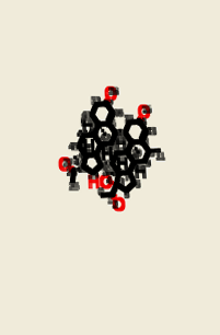 CC(=O)[C@@]1(O)CC[C@H]2[C@@H]3C[C@H](C)C4=CC(=O)CC[C@]4(C)[C@H]3CC[C@@]21C.CC(=O)[C@H]1CC[C@H]2[C@@H]3CCC4=CC(=O)CC[C@]4(C)[C@H]3CC[C@]12C